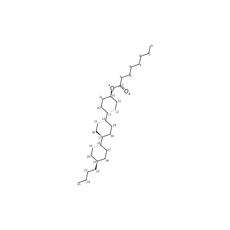 CCCCCCCC(=O)O[C@H]1CC[C@H]([C@H]2CC[C@H]([C@H]3CC[C@H](CCCC)CC3)CC2)CC1